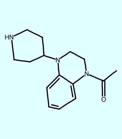 CC(=O)N1CCN(C2CCNCC2)c2ccccc21